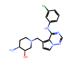 N[C@H]1CCN(Cc2ccn3ncnc(Nc4cccc(Cl)c4)c23)C[C@H]1O